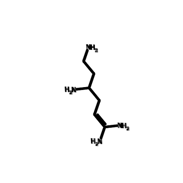 NCCC(N)CC=C(N)N